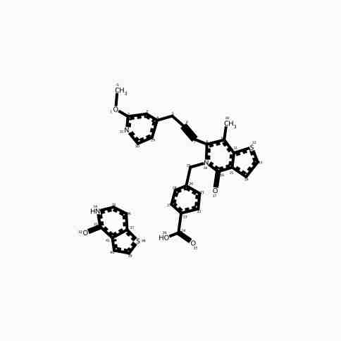 COc1cc(CC#Cc2c(C)c3sccc3c(=O)n2Cc2ccc(C(=O)O)cc2)ccn1.O=c1[nH]ccc2sccc12